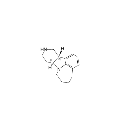 c1cc2c3c(c1)[C@H]1CNCC[C@H]1N3CCCC2